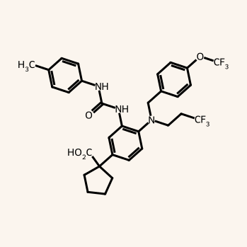 Cc1ccc(NC(=O)Nc2cc(C3(C(=O)O)CCCC3)ccc2N(CCC(F)(F)F)Cc2ccc(OC(F)(F)F)cc2)cc1